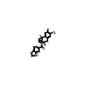 COc1cc2c(cc1C)[C@@]1(C)CCN(C(=O)c3ccc4nc[nH]c4c3)[C@@H](C2)C1(C)C